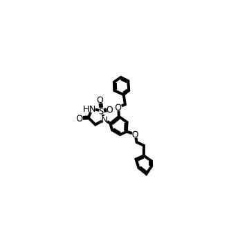 O=C1CN(c2ccc(OCCc3ccccc3)cc2OCc2ccccc2)S(=O)(=O)N1